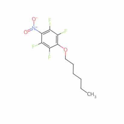 CCCCCCOc1c(F)c(F)c([N+](=O)[O-])c(F)c1F